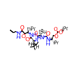 C=CCNC(=O)C(=O)C(CCC)NC(=O)[C@@H]1[C@@H]2[C@H](CN1C(=O)[C@@H](NC(=O)N[C@H](COC(=O)OC(C)C)C(C)C)C(C)(C)C)C2(C)C